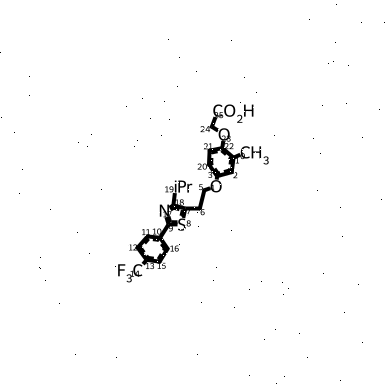 Cc1cc(OCCc2sc(-c3ccc(C(F)(F)F)cc3)nc2C(C)C)ccc1OCC(=O)O